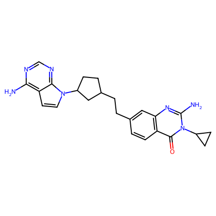 Nc1ncnc2c1ccn2C1CCC(CCc2ccc3c(=O)n(C4CC4)c(N)nc3c2)C1